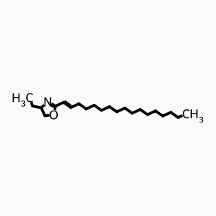 CCCCCCCCCCCCCCCC=CC1=NC(CC)CO1